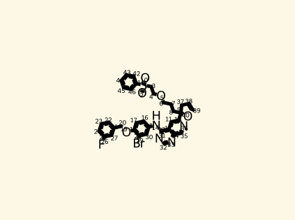 O=S(=O)(CCOCCCC1(c2cc3c(Nc4ccc(OCc5cccc(F)c5)c(Br)c4)ncnc3cn2)CC=CO1)c1ccccc1